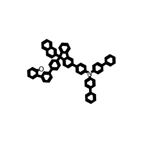 c1ccc(-c2ccc(N(c3ccc(-c4ccccc4)cc3)c3ccc(-c4ccc5c(c4)-c4ccccc4C5(c4ccc(-c5cccc6c5oc5ccccc56)cc4)c4ccc5ccccc5c4)cc3)cc2)cc1